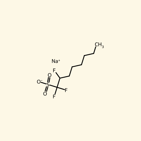 CCCCCCC(F)C(F)(F)S(=O)(=O)[O-].[Na+]